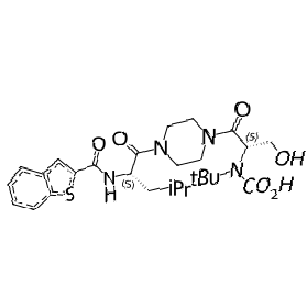 CC(C)C[C@H](NC(=O)c1cc2ccccc2s1)C(=O)N1CCN(C(=O)[C@H](CO)N(C(=O)O)C(C)(C)C)CC1